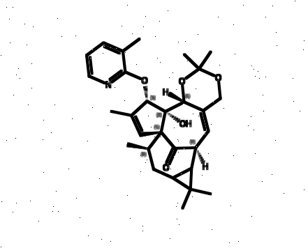 CC1=C[C@]23C(=O)[C@@H](C=C4COC(C)(C)O[C@H]4[C@]2(O)[C@H]1Oc1ncccc1C)C1C(C[C@H]3C)C1(C)C